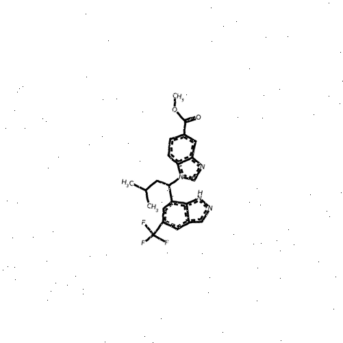 COC(=O)c1ccc2c(c1)ncn2C(CC(C)C)c1cc(C(F)(F)F)cc2cn[nH]c12